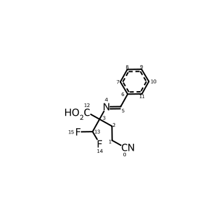 N#CCCC(N=Cc1ccccc1)(C(=O)O)C(F)F